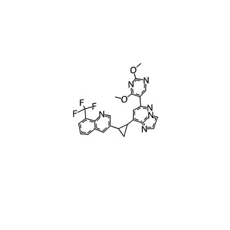 COc1ncc(-c2cc(C3CC3c3cnc4c(C(F)(F)F)cccc4c3)c3nccn3n2)c(OC)n1